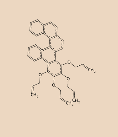 C=CCOc1c(OCC=C)c(OCC=C)c2c3ccc4ccc5ccccc5c4c3c3ccccc3c2c1OCC=C